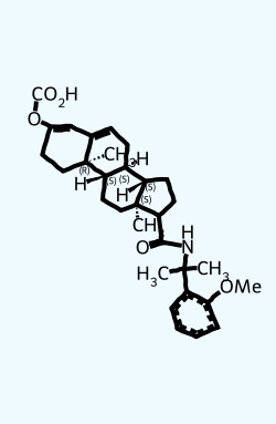 COc1ccccc1C(C)(C)NC(=O)C1CC[C@H]2[C@@H]3CC=C4C=C(OC(=O)O)CC[C@]4(C)[C@H]3CC[C@]12C